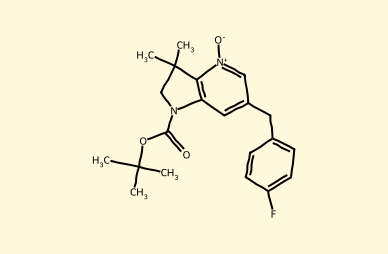 CC(C)(C)OC(=O)N1CC(C)(C)c2c1cc(Cc1ccc(F)cc1)c[n+]2[O-]